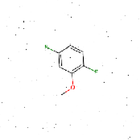 COc1cc(F)[c]cc1F